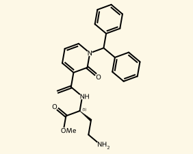 C=C(N[C@@H](CCN)C(=O)OC)c1cccn(C(c2ccccc2)c2ccccc2)c1=O